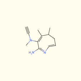 C#CN(C)C1=C(\C)C(C)C/C=C/N=C\1N